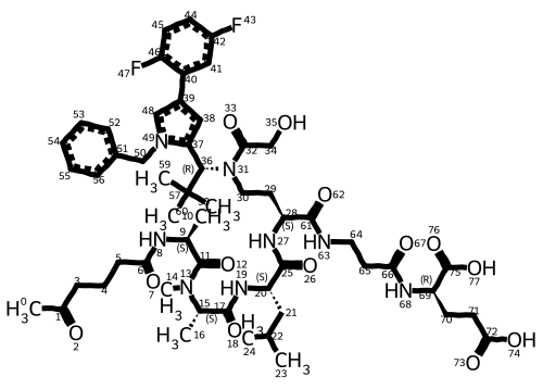 CC(=O)CCCC(=O)N[C@@H](C)C(=O)N(C)[C@@H](C)C(=O)N[C@@H](CC(C)C)C(=O)N[C@@H](CCN(C(=O)CO)[C@@H](c1cc(-c2cc(F)ccc2F)cn1Cc1ccccc1)C(C)(C)C)C(=O)NCCC(=O)N[C@H](CCC(=O)O)C(=O)O